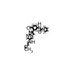 COCCNc1cnc2nc(-c3cc(NC(=O)N4CCCC4)ccc3Cl)cn2c1